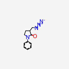 [N-]=[N+]=NCC1CCN(c2ccccc2)C1=O